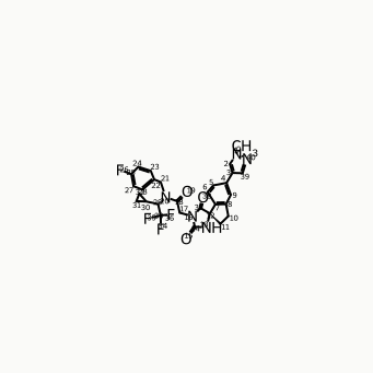 Cn1cc(-c2ccc3c(c2)CC[C@]32NC(=O)N(CC(=O)N(Cc3ccc(F)cc3)[C@@H](C3CC3)C(F)(F)F)C2=O)cn1